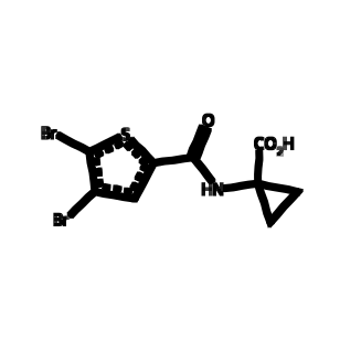 O=C(NC1(C(=O)O)CC1)c1cc(Br)c(Br)s1